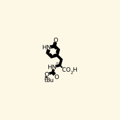 CC(C)(C)OC(=O)N[C@@H](Cc1cc[nH]c(=O)c1)C(=O)O